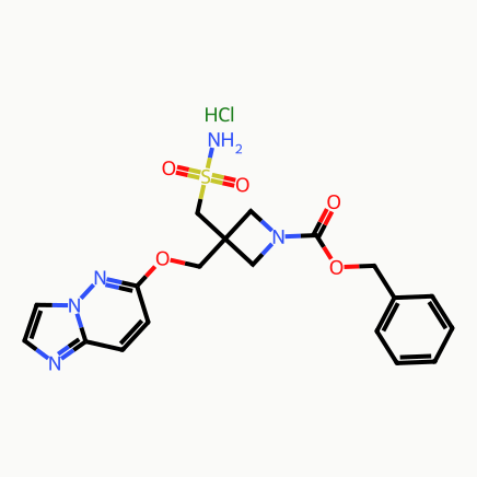 Cl.NS(=O)(=O)CC1(COc2ccc3nccn3n2)CN(C(=O)OCc2ccccc2)C1